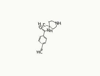 C#Cc1ccc(C(=O)NC2(C)CCNCC2)cc1